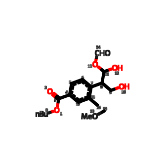 CCCCOC(=O)c1ccc(C(CO)C(O)OC=O)c(C)c1.COC